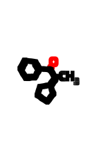 CC(C(=O)c1ccccc1)=C1CCCC1